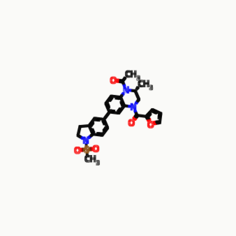 CC(=O)N1c2ccc(-c3ccc4c(c3)CCN4S(C)(=O)=O)cc2N(C(=O)c2ccco2)C[C@@H]1C